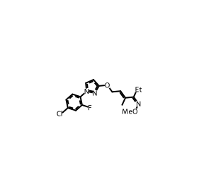 CCC(=N/OC)/C(C)=C/COc1ccn(-c2ccc(Cl)cc2F)n1